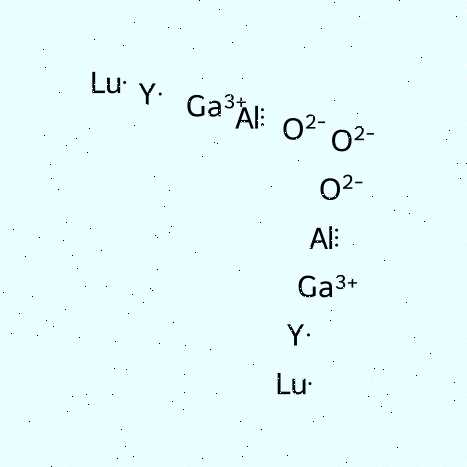 [Al].[Al].[Ga+3].[Ga+3].[Lu].[Lu].[O-2].[O-2].[O-2].[Y].[Y]